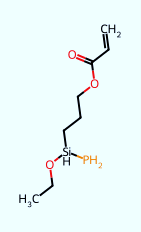 C=CC(=O)OCCC[SiH](P)OCC